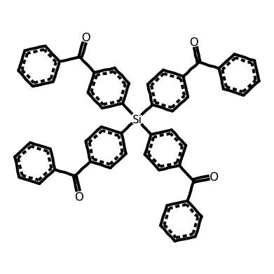 O=C(c1ccccc1)c1ccc([Si](c2ccc(C(=O)c3ccccc3)cc2)(c2ccc(C(=O)c3ccccc3)cc2)c2ccc(C(=O)c3ccccc3)cc2)cc1